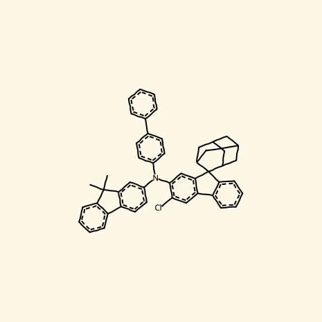 CC1(C)c2ccccc2-c2ccc(N(c3ccc(-c4ccccc4)cc3)c3cc4c(cc3Cl)-c3ccccc3C43C4CC5CC(C4)CC3C5)cc21